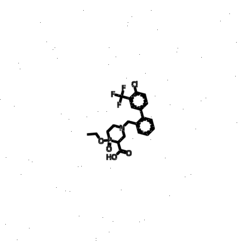 CCOP1(=O)CCN(Cc2ccccc2-c2ccc(Cl)c(C(F)(F)F)c2)CC1C(=O)O